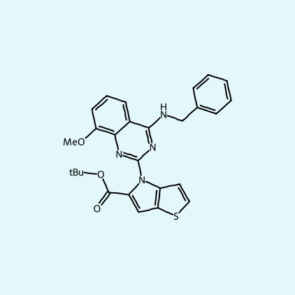 COc1cccc2c(NCc3ccccc3)nc(-n3c(C(=O)OC(C)(C)C)cc4sccc43)nc12